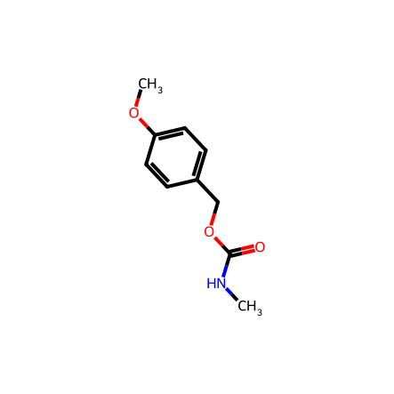 CNC(=O)OCc1ccc(OC)cc1